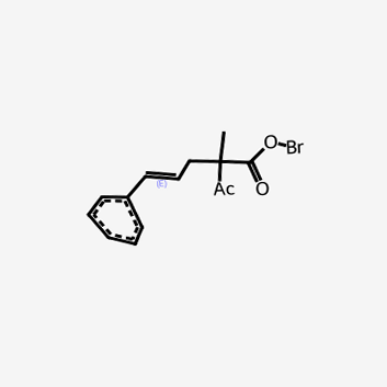 CC(=O)C(C)(C/C=C/c1ccccc1)C(=O)OBr